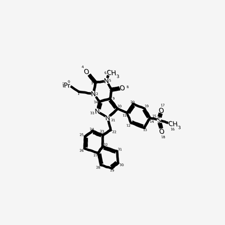 CC(C)Cn1c(=O)n(C)c(=O)c2c(-c3ccc(S(C)(=O)=O)cc3)n(Cc3cccc4ccccc34)nc21